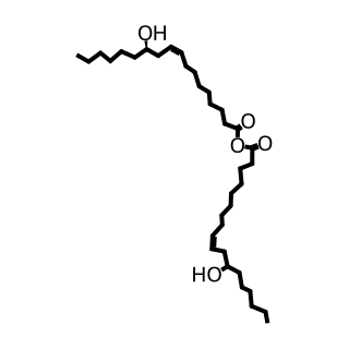 CCCCCCC(O)C/C=C\CCCCCCCC(=O)OC(=O)CCCCCCC/C=C\C[C@H](O)CCCCCC